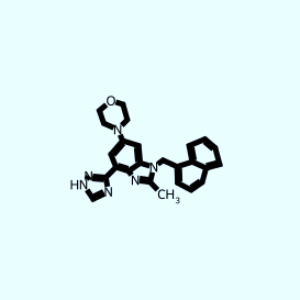 Cc1nc2c(-c3nc[nH]n3)cc(N3CCOCC3)cc2n1Cc1cccc2ccccc12